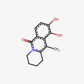 Cc1c2n(c(=O)c3ccc(O)c(O)c13)CCCC2